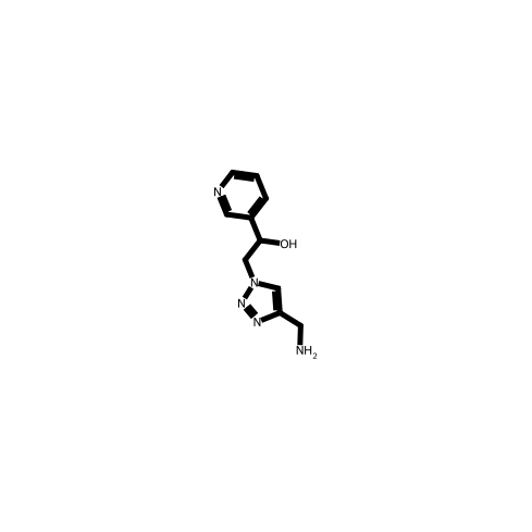 NCc1cn(CC(O)c2cccnc2)nn1